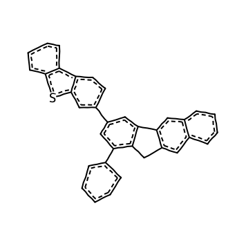 c1ccc(-c2cc(-c3ccc4c(c3)sc3ccccc34)cc3c2Cc2cc4ccccc4cc2-3)cc1